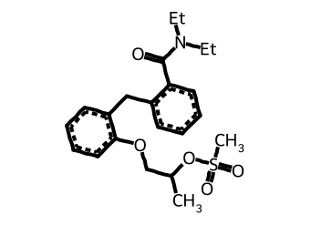 CCN(CC)C(=O)c1ccccc1Cc1ccccc1OCC(C)OS(C)(=O)=O